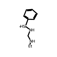 CCNCN[SiH](C)c1ccccc1